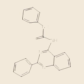 O=C(Nc1ccccc1)Nc1nc(-c2ccccc2)nc2ccccc12